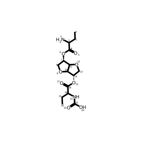 CCC(N)C(=O)O[C@@H]1COC2C1OC[C@@H]2OC(=O)C(CC)NC(=O)O